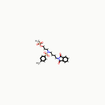 Cc1ccc(S(=O)(=O)N(CCCCN2C(=O)c3ccccc3C2=O)CCCOS(C)(=O)=O)cc1